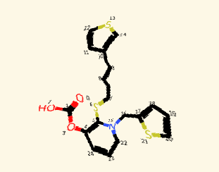 O=C(O)OC1=C(SCCCc2ccsc2)N(Cc2cccs2)CC=C1